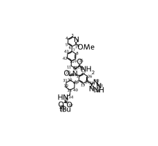 COc1ncccc1-c1ccc(C[C@@H](C(N)=O)N(c2ccc(-c3nn[nH]n3)cc2)C(=O)[C@H]2CC[C@H](CNC(=O)OC(C)(C)C)CC2)cc1